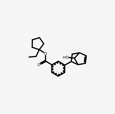 CCC1(OC(=O)c2cccc(C3CC4C=CC3C4O)c2)CCCC1